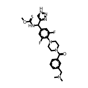 COC(=S)NC(c1cc(F)c(N2CCN(C(=O)c3cccc(CN(C)C)c3)CC2)c(F)c1)c1c[nH]nn1